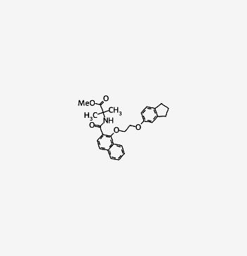 COC(=O)C(C)(C)NC(=O)c1ccc2ccccc2c1OCCOc1ccc2c(c1)CCC2